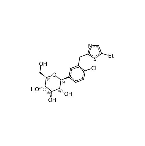 CCc1cnc(Cc2cc([C@@H]3O[C@H](CO)[C@@H](O)[C@H](O)[C@H]3O)ccc2Cl)s1